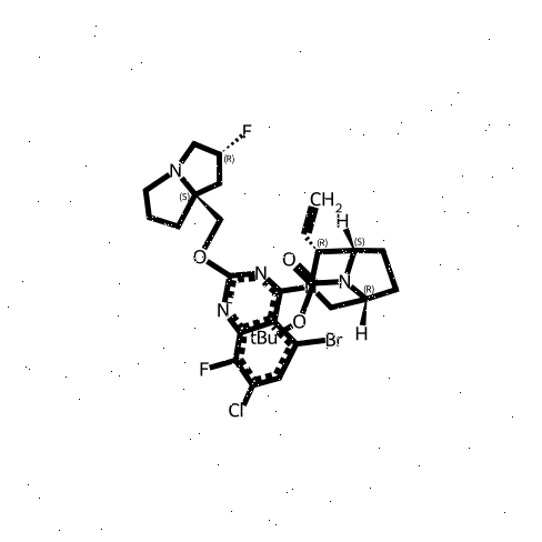 C=C[C@@H]1[C@@H]2CC[C@H](CN1c1nc(OC[C@@]34CCCN3C[C@H](F)C4)nc3c(F)c(Cl)cc(Br)c13)N2C(=O)OC(C)(C)C